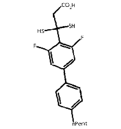 CCCCCc1ccc(-c2cc(F)c(C(S)(S)CC(=O)O)c(F)c2)cc1